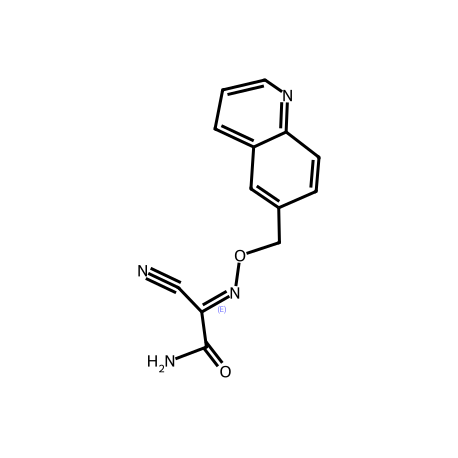 N#C/C(=N\OCc1ccc2ncccc2c1)C(N)=O